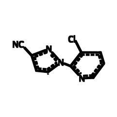 N#Cc1c[c]n(-c2ncccc2Cl)n1